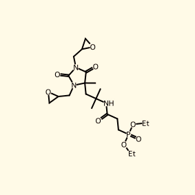 CCOP(=O)(CCC(=O)NC(C)(C)CC1(C)C(=O)N(CC2CO2)C(=O)N1CC1CO1)OCC